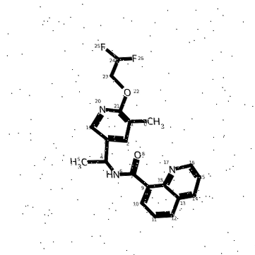 Cc1cc(C(C)NC(=O)c2cccc3cccnc23)cnc1OCC(F)F